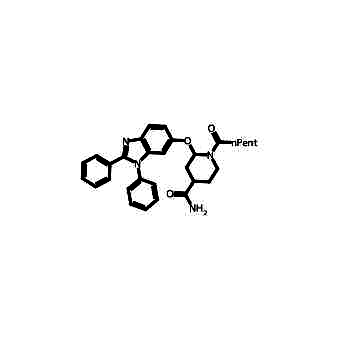 CCCCCC(=O)N1CCC(C(N)=O)CC1Oc1ccc2nc(-c3ccccc3)n(-c3ccccc3)c2c1